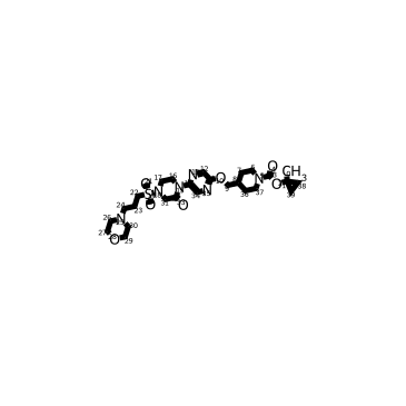 CC1(OC(=O)N2CCC(COc3cnc(N4CCN(S(=O)(=O)CCCN5CCOCC5)CC4=O)cn3)CC2)CC1